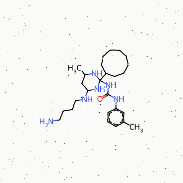 Cc1cccc(NC(=O)NC2(C3CCCCCCCC3)NC(C)CC(NCCCCN)N2)c1